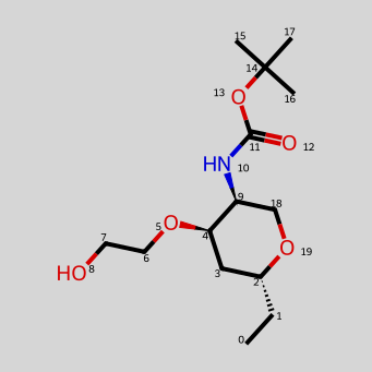 CC[C@@H]1C[C@@H](OCCO)[C@@H](NC(=O)OC(C)(C)C)CO1